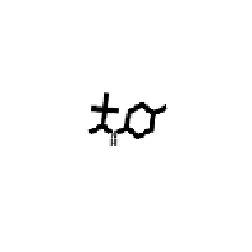 CC1CCC(NC(C)C(C)(C)C)CC1